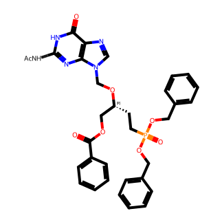 CC(=O)Nc1nc2c(ncn2CO[C@H](CCP(=O)(OCc2ccccc2)OCc2ccccc2)COC(=O)c2ccccc2)c(=O)[nH]1